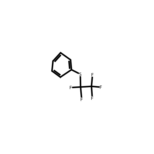 FC(F)(F)C(F)(F)Sc1[c]cccc1